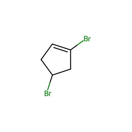 BrC1=CCC(Br)C1